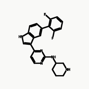 Fc1cccc(F)c1-c1ccc2[nH]cc(-c3ccnc(NC4CCCNC4)n3)c2c1